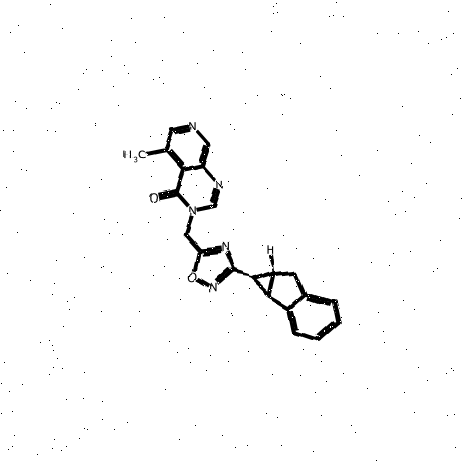 Cc1cncc2ncn(Cc3nc([C@@H]4C5c6ccccc6C[C@H]54)no3)c(=O)c12